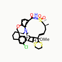 CO[C@]1(C2SCCCS2)/C=C/C[C@H](C)[C@@H](C)S(=O)(=O)NC(=O)c2ccc3c(c2)N(C[C@@H]2CC[C@H]21)C[C@@]1(CCCc2cc(Cl)ccc21)CO3